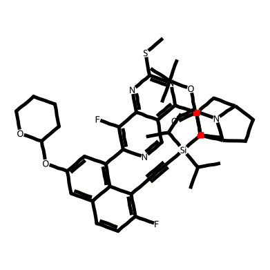 CSc1nc(N2CC3CCC(C2)N3C(=O)OC(C)(C)C)c2cnc(-c3cc(OC4CCCCO4)cc4ccc(F)c(C#C[Si](C(C)C)(C(C)C)C(C)C)c34)c(F)c2n1